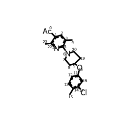 CC(=O)c1cc(C)c(N2CCC(Oc3ccc(C)c(Cl)c3)CC2)nc1C